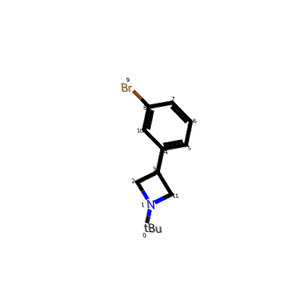 CC(C)(C)N1CC(c2cccc(Br)c2)C1